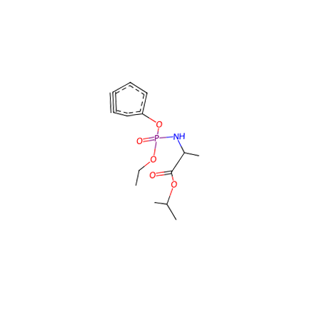 CCOP(=O)(NC(C)C(=O)OC(C)C)Oc1cc#ccc1